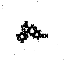 CC1(C(=O)N2Cc3ccc(C#N)cc3OC[C@@H]2C2CC2)CCOCC1